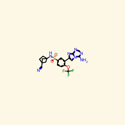 N#CC12CCC(NS(=O)(=O)c3ccc(OC(F)(F)F)c(-c4cn5c(N)ncnc5n4)c3)(C1)C2